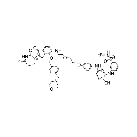 Cc1cnc(Nc2ccc(OCCCOCCNc3ccc4c(c3OCc3ccc(CN5CCOCC5)cc3)CN([C@H]3CCCC(=O)NC3=O)C4=O)cc2)nc1Nc1cccc(S(=O)(=O)NC(C)(C)C)c1